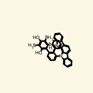 Bc1c(B)c(-c2cccc(-n3c4ccccc4c4ccc5c6ccccc6[nH]c5c43)c2C2=CCCC=C2)c(O)c(B)c1O